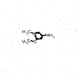 COc1cc(N)cn1C